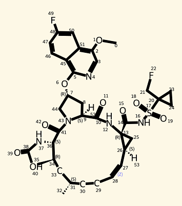 COc1cnc(O[C@@H]2C[C@H]3C(=O)N[C@]4(C(=O)NS(=O)(=O)C5(CF)CC5)C[C@H]4/C=C\CC[C@H](C)C[C@@H](C)[C@H](NC(=O)O)C(=O)N3C2)c2ccc(F)cc12